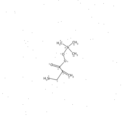 C=C(C[SiH3])C(=O)OO[Si](C)(C)C